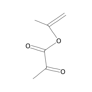 C=C(C)OC(=O)C(C)=O